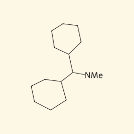 CNC(C1CCCCC1)C1CCCCC1